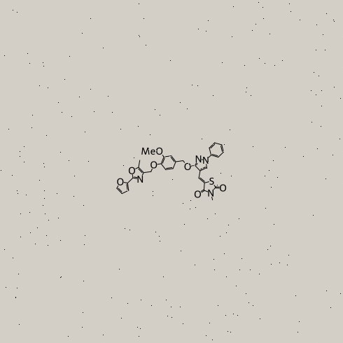 COc1cc(COc2nn(-c3ccccc3)cc2C=C2SC(=O)N(C)C2=O)ccc1OCc1nc(-c2ccco2)oc1C